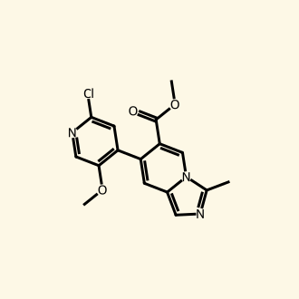 COC(=O)c1cn2c(C)ncc2cc1-c1cc(Cl)ncc1OC